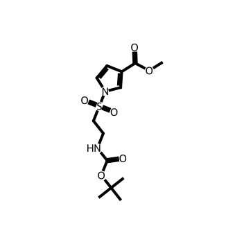 COC(=O)c1ccn(S(=O)(=O)CCNC(=O)OC(C)(C)C)c1